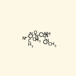 Cc1cccc(-c2n[nH]c3ccc(NC(=O)c4ncc(C#N)c(C)c4C)cc23)n1